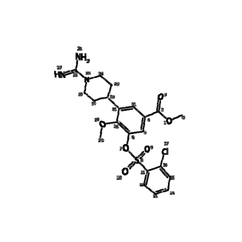 COC(=O)c1cc(OS(=O)(=O)c2ccccc2Cl)c(OC)c(C2CCN(C(=N)N)CC2)c1